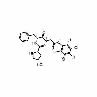 Cl.O=C(CNC(=O)C(Cc1ccccc1)NC(=O)C1CCCN1)Oc1c(Cl)c(Cl)c(Cl)c(Cl)c1Cl